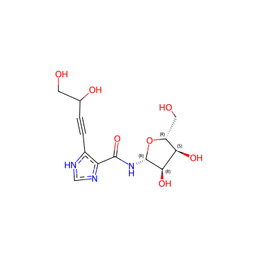 O=C(N[C@@H]1O[C@H](CO)[C@@H](O)[C@H]1O)c1nc[nH]c1C#CC(O)CO